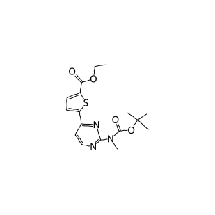 CCOC(=O)c1ccc(-c2ccnc(N(C)C(=O)OC(C)(C)C)n2)s1